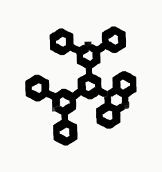 c1ccc(-c2cc(-c3cc(-c4cc(-c5ccccc5)nc(-c5ccccc5)c4)cc(N4c5ccccc5Oc5ccccc54)c3)cc(-c3ccccc3)n2)cc1